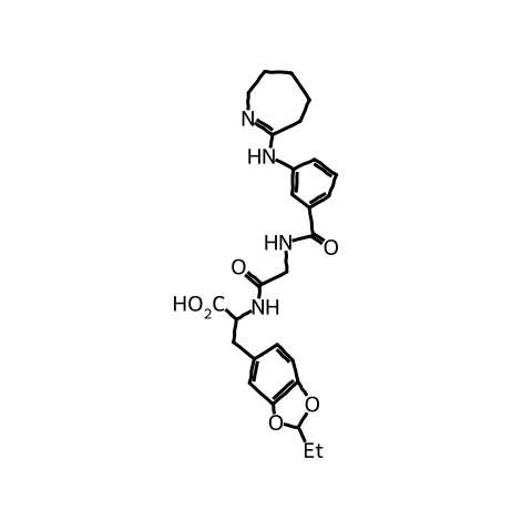 CCC1Oc2ccc(CC(NC(=O)CNC(=O)c3cccc(NC4=NCCCCC4)c3)C(=O)O)cc2O1